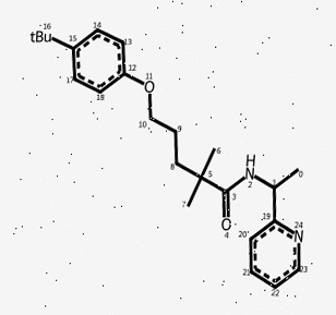 CC(NC(=O)C(C)(C)CCCOc1ccc(C(C)(C)C)cc1)c1ccccn1